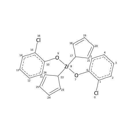 Clc1ccccc1[O][Zr]([O]c1ccccc1Cl)([CH]1C=CC=C1)[CH]1C=CC=C1